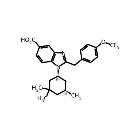 C[C@@H]1C[C@H](n2c(Cc3ccc(OC(F)(F)F)cc3)nc3cc(C(=O)O)ccc32)CC(C)(C)C1